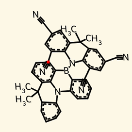 CC1(C)c2cc(C#N)cc(C#N)c2N(B2c3ccccc3N3c4ccccc4C(C)(C)c4cccc2c43)c2c(C#N)cc(C#N)cc21